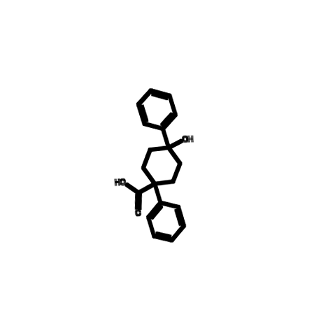 O=C(O)C1(c2ccccc2)CCC(O)(c2ccccc2)CC1